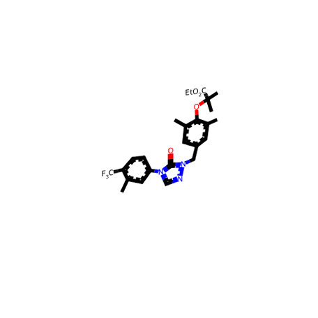 CCOC(=O)C(C)(C)Oc1c(C)cc(Cn2ncn(-c3ccc(C(F)(F)F)c(C)c3)c2=O)cc1C